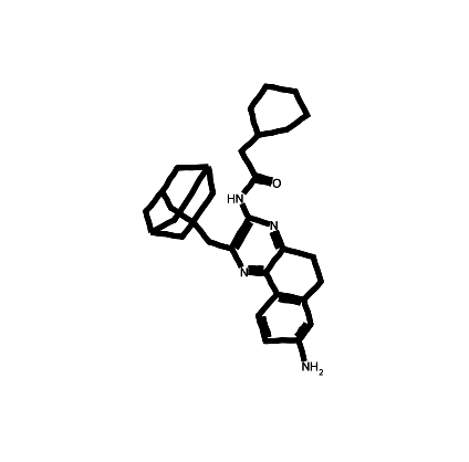 Nc1ccc2c(c1)CCc1nc(NC(=O)CC3CCCCC3)c(CC34CC5CC(CC(C5)C3)C4)nc1-2